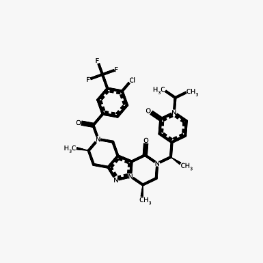 CC(C)n1ccc([C@@H](C)N2C[C@@H](C)n3nc4c(c3C2=O)CN(C(=O)c2ccc(Cl)c(C(F)(F)F)c2)[C@H](C)C4)cc1=O